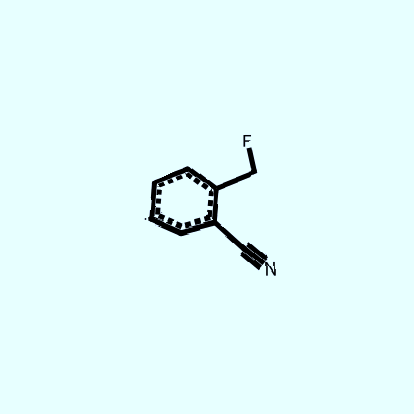 N#Cc1c[c]ccc1CF